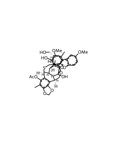 COc1ccc2oc3c(c2c1)C[C@@H](CO)N[C@]31CS[C@@H]2c3c(OC(C)=O)c(C)c4c(c3[C@H](COC1=O)N1[C@@H]2C2c3c(cc(C)c(OC)c3O)CC1(O)CN2C)OCO4